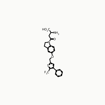 NC(CC(=O)N1CCc2cc(OCc3cc(-c4ccccc4)c(C(F)(F)F)s3)ccc21)C(=O)O